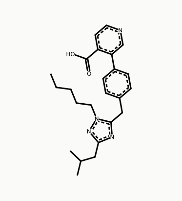 CCCCCn1nc(CC(C)C)nc1Cc1ccc(-c2cnccc2C(=O)O)cc1